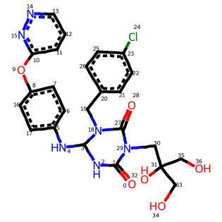 O=C1NC(Nc2ccc(Oc3cccnn3)cc2)N(Cc2ccc(Cl)cc2)C(=O)N1CC(O)(CO)CO